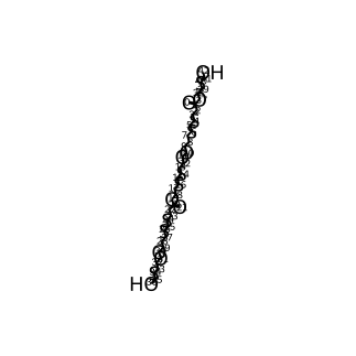 O=C(CCSCSCCCOOCCSCSCCOC(=O)CCSCSCCCOOCCSCO)OCCSCO